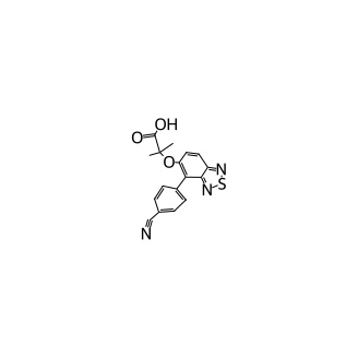 CC(C)(Oc1ccc2nsnc2c1-c1ccc(C#N)cc1)C(=O)O